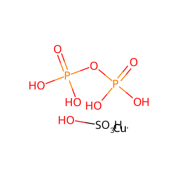 O=P(O)(O)OP(=O)(O)O.O=S(=O)(O)O.[Cu]